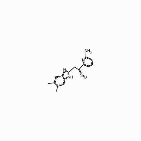 Cc1cc2nc(CC(=S=O)c3cccc(N)n3)[nH]c2cc1C